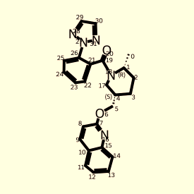 C[C@@H]1CC[C@H](COc2ccc3ccccc3n2)CN1C(=O)c1ccccc1-n1nccn1